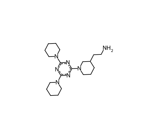 NCCC1CCCN(c2nc(N3CCCCC3)nc(N3CCCCC3)n2)C1